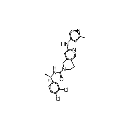 Cc1cc(Nc2cc3c(cn2)CCN(C(=O)N[C@H](C)c2ccc(Cl)c(Cl)c2)C3)ccn1